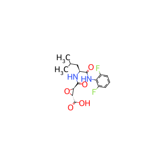 CC(C)C[C@H](NC(=O)[C@@H]1O[C@H]1C(=O)O)C(=O)Nc1c(F)cccc1F